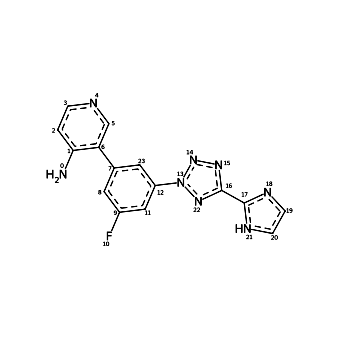 Nc1ccncc1-c1cc(F)cc(-n2nnc(-c3ncc[nH]3)n2)c1